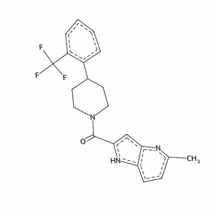 Cc1ccc2[nH]c(C(=O)N3CCC(c4ccccc4C(F)(F)F)CC3)cc2n1